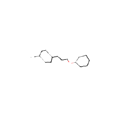 CCCC1CCC(CCCOC2CCCCC2)CC1